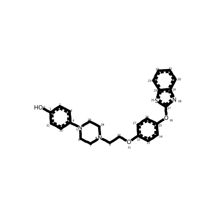 Oc1ccc(N2CCN(CCOc3ccc(Oc4nc5ccccc5s4)cc3)CC2)cc1